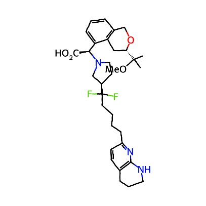 COC(C)(C)[C@@H]1Cc2c(cccc2[C@H](C(=O)O)N2CC[C@@H](C(F)(F)CCCCc3ccc4c(n3)NCCC4)C2)CO1